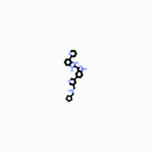 c1ccc(-c2cccc3c2NC(c2n[nH]c4ccc(-c5cncc(CNCC6CCCC6)c5)cc24)N3)nc1